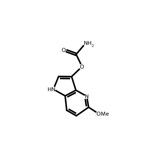 COc1ccc2[nH]cc(OC(N)=O)c2n1